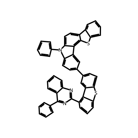 c1ccc(-c2nc(-c3cccc4sc5ccc(-c6ccc7c(c6)c6c8sc9ccccc9c8ccc6n7-c6ccccc6)cc5c34)nc3ccccc23)cc1